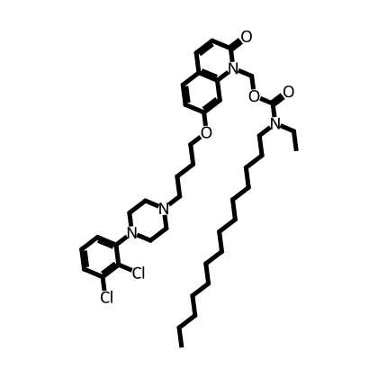 CCCCCCCCCCCCCCN(CC)C(=O)OCn1c(=O)ccc2ccc(OCCCCN3CCN(c4cccc(Cl)c4Cl)CC3)cc21